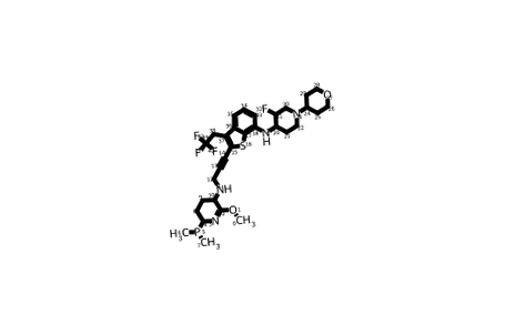 COC1=NC(P(C)C)CCC1NCC#Cc1sc2c(NC3CCN(C4CCOCC4)CC3F)cccc2c1CC(F)(F)F